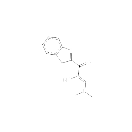 CN(C)/C=C(\C#N)C(=O)C1=Nc2ccccc2C1